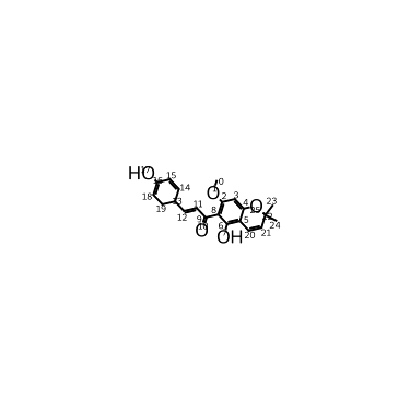 COc1cc2c(c(O)c1C(=O)/C=C/C1C=CC(O)=CC1)C=CC(C)(C)O2